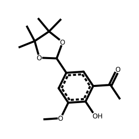 COc1cc(C2OC(C)(C)C(C)(C)O2)cc(C(C)=O)c1O